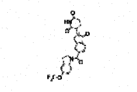 O=C1CCC(N2Cc3cc(C(=O)N4CCc5cc(OC(F)(F)F)ccc54)ccc3C2=O)C(=O)N1